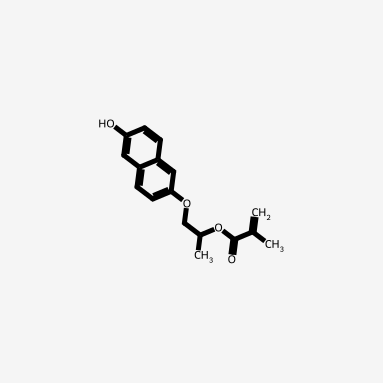 C=C(C)C(=O)OC(C)COc1ccc2cc(O)ccc2c1